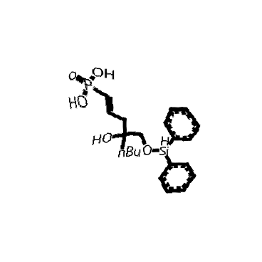 CCCCC(O)(CC=CP(=O)(O)O)CO[SiH](c1ccccc1)c1ccccc1